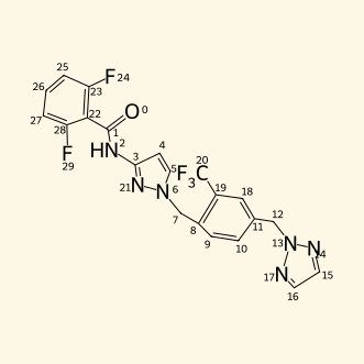 O=C(Nc1ccn(Cc2ccc(Cn3nccn3)cc2C(F)(F)F)n1)c1c(F)cccc1F